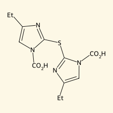 CCc1cn(C(=O)O)c(Sc2nc(CC)cn2C(=O)O)n1